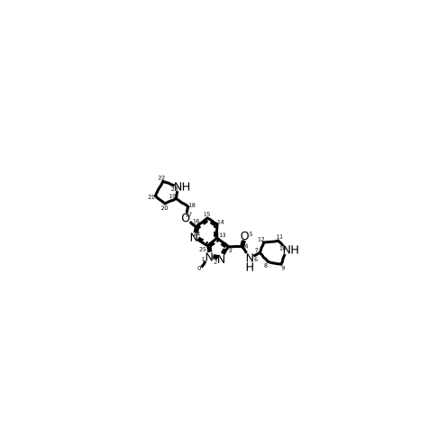 Cn1nc(C(=O)NC2CCNCC2)c2ccc(OCC3CCCN3)nc21